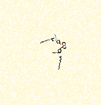 CCCCCCCCCc1cnc(C2(CCCCC)C=CC(C(OC(C3=CCC(CCCCC)(c4ncc(CCCCCCCCC)cn4)C=C3)c3ccccc3)c3ccccc3)=CC2)nc1